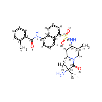 Cc1ccccc1C(=O)Nc1cccc2c(S(=O)(=O)N[C@@H]3CCN(C(=O)C(C)(C)N)C[C@@H]3C)cccc12